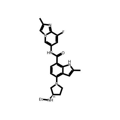 CCN[C@@H]1CCN(c2ccc(C(=O)Nc3cc(F)c4nc(C)cn4c3)c3[nH]c(C)cc23)C1